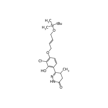 CC1CC(=O)NN=C1c1ccc(OCC=CCO[Si](C)(C)C(C)(C)C)c(Cl)c1O